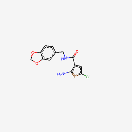 Nc1sc(Cl)cc1C(=O)NCc1ccc2c(c1)OCO2